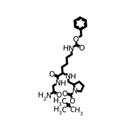 CC(C)(C)OC(=O)N1CCCC1CNC(CCCCNC(=O)OCc1ccccc1)C(=O)NCC(N)=O